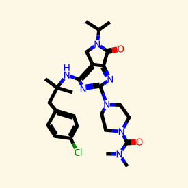 CC(C)N1Cc2c(NC(C)(C)Cc3ccc(Cl)cc3)nc(N3CCN(C(=O)N(C)C)CC3)nc2C1=O